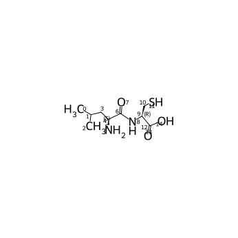 CC(C)C[C@H](N)C(=O)N[C@@H](CS)C(=O)O